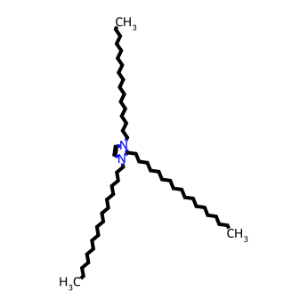 CCCCCCCCCCCCCCCCCCC1N(CCCCCCCCCCCCCCCCC)C=CN1CCCCCCCCCCCCCCCCCC